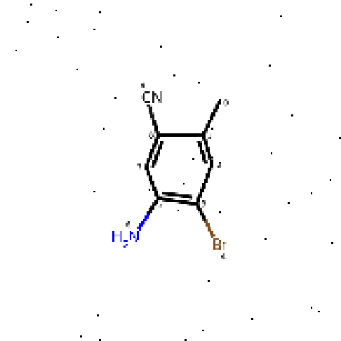 Cc1cc(Br)c(N)cc1C#N